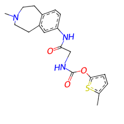 Cc1ccc(OC(=O)NCC(=O)Nc2ccc3c(c2)CCN(C)CC3)s1